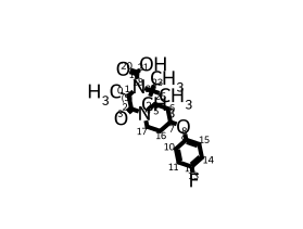 C[C@@H](C(=O)N1CCC(Oc2ccc(F)cc2)CC1)N(C(=O)O)C(C)(C)C